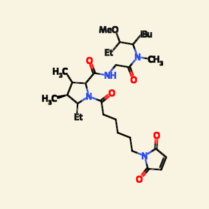 CCC(C)C(C(CC)OC)N(C)C(=O)CNC(=O)C1C(C)[C@H](C)C(CC)N1C(=O)CCCCCN1C(=O)C=CC1=O